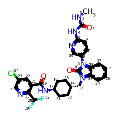 CNC(=O)Nc1ccc(-n2c(=O)n(C[C@H]3CC[C@H](NC(=O)c4cc(Cl)cnc4C(F)F)CC3)c3ccccc32)cn1